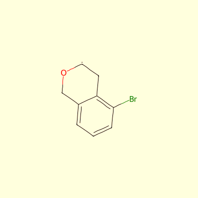 Brc1cccc2c1C[CH]OC2